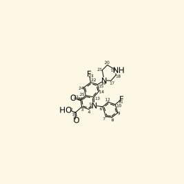 O=C(O)c1cn(-c2cccc(F)c2)c2cc(N3CCNCC3)c(F)cc2c1=O